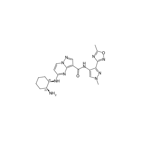 Cc1nc(-c2nn(C)cc2NC(=O)c2cnn3ccc(N[C@@H]4CCCC[C@@H]4N)nc23)no1